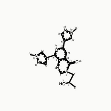 CC(O)Cn1cnc2c(-c3cnn(C)c3)nc(-c3cnn(C)c3)cc2c1=O